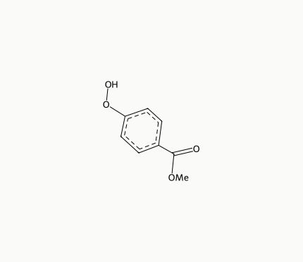 COC(=O)c1ccc(OO)cc1